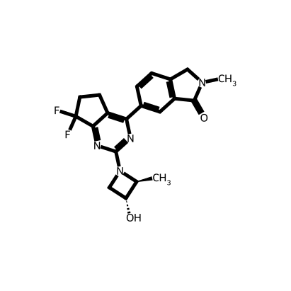 C[C@H]1[C@H](O)CN1c1nc(-c2ccc3c(c2)C(=O)N(C)C3)c2c(n1)C(F)(F)CC2